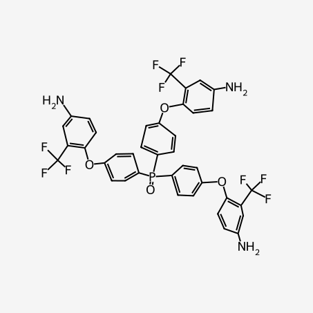 Nc1ccc(Oc2ccc(P(=O)(c3ccc(Oc4ccc(N)cc4C(F)(F)F)cc3)c3ccc(Oc4ccc(N)cc4C(F)(F)F)cc3)cc2)c(C(F)(F)F)c1